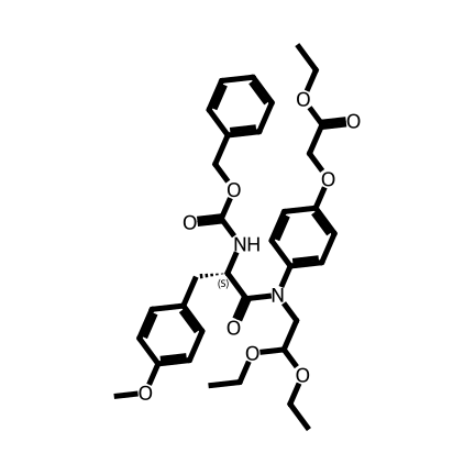 CCOC(=O)COc1ccc(N(CC(OCC)OCC)C(=O)[C@H](Cc2ccc(OC)cc2)NC(=O)OCc2ccccc2)cc1